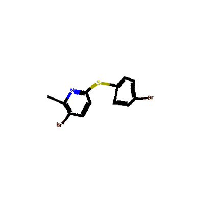 Cc1nc(Sc2ccc(Br)cc2)ccc1Br